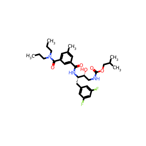 CCCN(CCC)C(=O)c1cc(C)cc(C(=O)N[C@@H](Cc2cc(F)cc(F)c2)[C@H](O)CNC(=O)OCC(C)C)c1